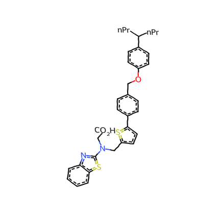 CCCC(CCC)c1ccc(OCc2ccc(-c3ccc(CN(CC(=O)O)c4nc5ccccc5s4)s3)cc2)cc1